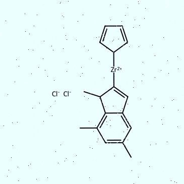 Cc1cc(C)c2c(c1)C=[C]([Zr+2][CH]1C=CC=C1)C2C.[Cl-].[Cl-]